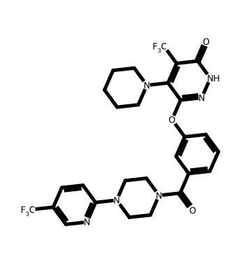 O=C(c1cccc(Oc2n[nH]c(=O)c(C(F)(F)F)c2N2CCCCC2)c1)N1CCN(c2ccc(C(F)(F)F)cn2)CC1